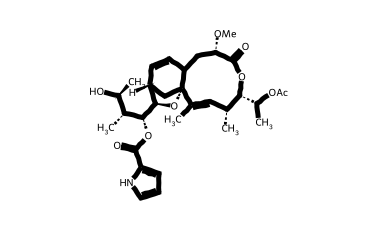 CO[C@H]1CC2C=C[C@@H]3C[C@]2(O[C@H]3[C@H](OC(=O)c2ccc[nH]2)[C@H](C)[C@H](C)O)/C(C)=C/[C@@H](C)[C@@H](C(C)OC(C)=O)OC1=O